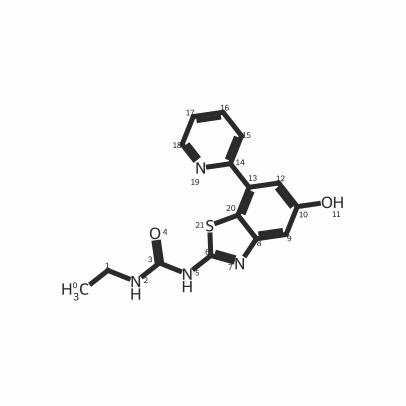 CCNC(=O)Nc1nc2cc(O)cc(-c3ccccn3)c2s1